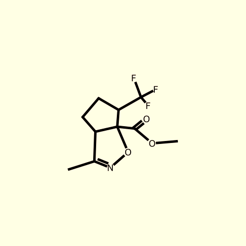 COC(=O)C12ON=C(C)C1CCC2C(F)(F)F